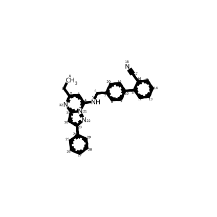 CCc1cc(NCc2ccc(-c3ccccc3C#N)cc2)n2nc(-c3ccccc3)cc2n1